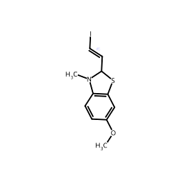 COc1ccc2c(c1)SC(/C=C/I)N2C